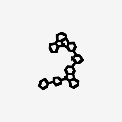 c1ccc(-c2ccc(-n3c4ccccc4c4cc(-c5cccc(-c6ccc7c8cccc9c%10ccccc%10n(c7c6)c98)n5)ccc43)cc2)cc1